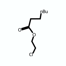 CCCCCCC(=O)OCCCl